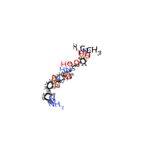 CN(C)S(=O)(=O)c1cccc(OC[C@@H](O)CNC2COC3(CCN(S(=O)(=O)c4cccc(-c5ccc(N)nc5)c4)CC3)C2)c1